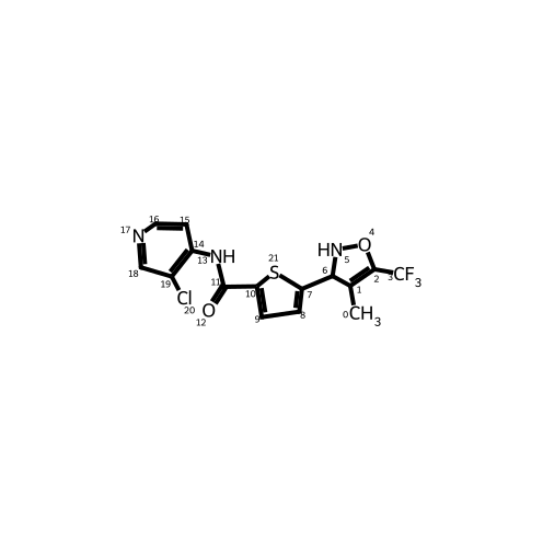 CC1=C(C(F)(F)F)ONC1c1ccc(C(=O)Nc2ccncc2Cl)s1